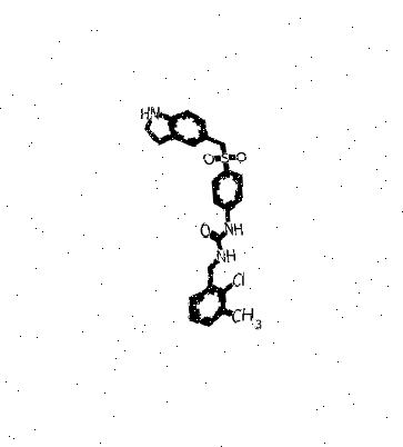 Cc1cccc(CNC(=O)Nc2ccc(S(=O)(=O)Cc3ccc4c(c3)CCN4)cc2)c1Cl